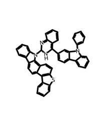 c1ccc(-n2c3ccccc3c3ccc(C4=c5ccccc5=NC(n5c6ccccc6c6ccc7c(ccc8sc9ccccc9c87)c65)N4)cc32)cc1